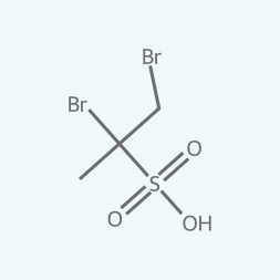 CC(Br)(CBr)S(=O)(=O)O